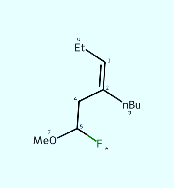 CC/C=C(/CCCC)CC(F)OC